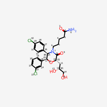 NC(=O)CCCCN1C(=O)[C@H](C[C@@H](O)CO)O[C@@H](c2cccc(Cl)c2)[C@H]1c1ccc(Cl)cc1